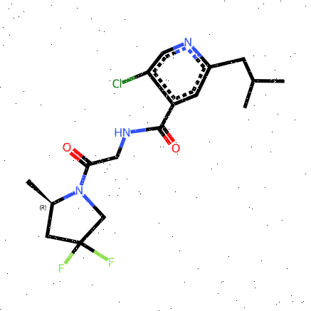 CC(C)Cc1cc(C(=O)NCC(=O)N2CC(F)(F)C[C@H]2C)c(Cl)cn1